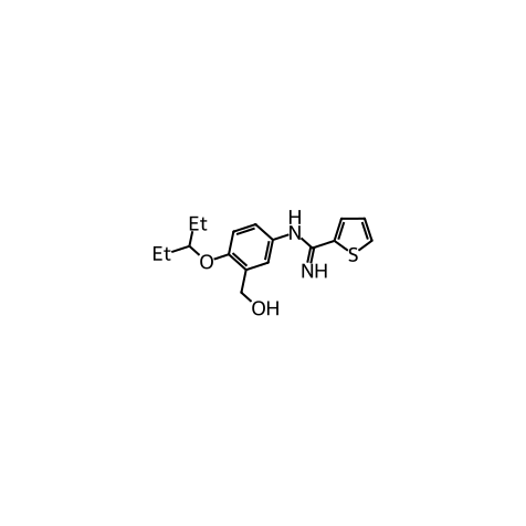 CCC(CC)Oc1ccc(NC(=N)c2cccs2)cc1CO